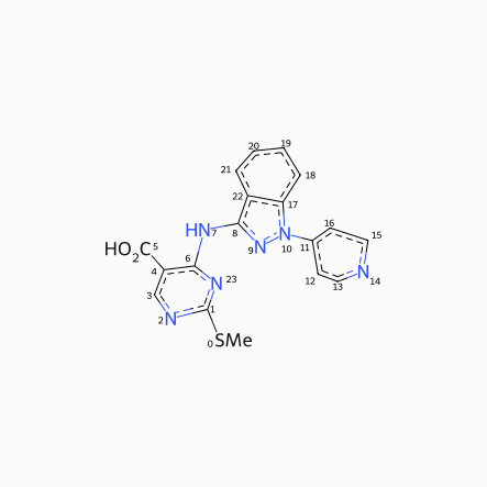 CSc1ncc(C(=O)O)c(Nc2nn(-c3ccncc3)c3ccccc23)n1